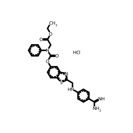 CCOC(=O)CN(C(=O)Oc1ccc2sc(CNc3ccc(C(=N)N)cc3)nc2c1)c1ccccc1.Cl